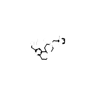 CCc1cc2c(s1)CCO[C@@]21CCN(Cc2ncco2)[C@@H](C)C1